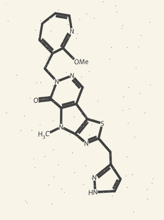 COC1=NC=CCC=C1Cn1ncc2c3sc(Cc4cc[nH]n4)nc3n(C)c2c1=O